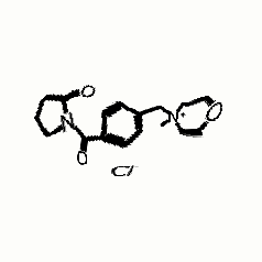 C[N+]1(Cc2ccc(C(=O)N3CCCC3=O)cc2)CCOCC1.[Cl-]